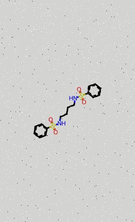 O=S(=O)(NCCCCNS(=O)(=O)c1ccccc1)c1ccccc1